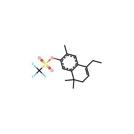 CCC1=CCC(C)(C)c2cc(OS(=O)(=O)C(F)(F)F)c(C)cc21